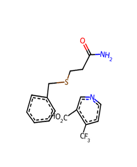 NC(=O)CCSCc1ccccc1.O=C(O)c1cnccc1C(F)(F)F